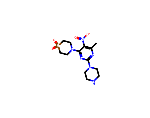 Cc1nc(N2CCNCC2)nc(N2CCS(=O)(=O)CC2)c1[N+](=O)[O-]